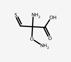 NOC(N)(C=S)C(=O)O